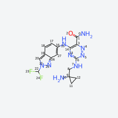 NC(=O)c1nnc(NCC2(N)CC2)nc1Nc1ccc2cn(C(F)F)nc2c1